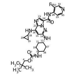 CC(C)(C)COC(=O)N[C@H]1CC[C@H](Nc2cc(NC3CC3)c3ncc(C(=O)Nc4ccncc4F)n3n2)CC1